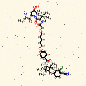 CNC(=O)[C@@H]1C[C@@H](O)CN1C(=O)[C@@H](NC(=O)COCCCCCOc1ccc(C(=O)N[C@H]2C(C)(C)[C@H](Oc3ccc(C#N)c(Cl)c3)C2(C)C)cc1)C(C)(C)C